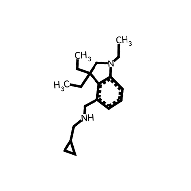 CCN1CC(CC)(CC)c2c(CNCC3CC3)cccc21